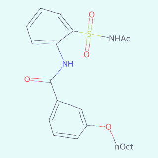 CCCCCCCCOc1cccc(C(=O)Nc2ccccc2S(=O)(=O)NC(C)=O)c1